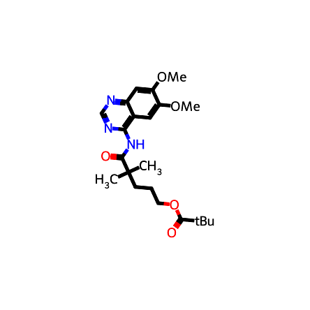 COc1cc2ncnc(NC(=O)C(C)(C)CCCOC(=O)C(C)(C)C)c2cc1OC